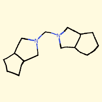 C1CC2CN(CN3CC4CCCC4C3)CC2C1